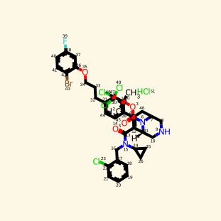 CC(C)(OC(=O)N1C2CNC[C@@H]1C(C(=O)N(Cc1ccccc1Cl)C1CC1)=C(c1ccc(CCCOc3cc(F)ccc3Br)cc1)C2)C(Cl)(Cl)Cl.Cl